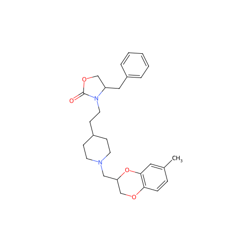 Cc1ccc2c(c1)OC(CN1CCC(CCN3C(=O)OCC3Cc3ccccc3)CC1)CO2